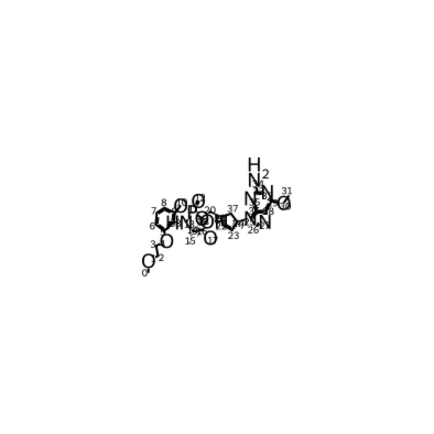 COCCOc1cccc(OP(=O)(N[C@@H](C)C(=O)O)OC[C@@H]2C=C[C@H](n3cnc4c(OC)nc(N)nc43)C2)c1